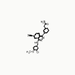 COc1ccc(CNc2nnc(-c3cccc(CC(N)=O)c3)c3ccc(C#N)cc23)cc1Cl